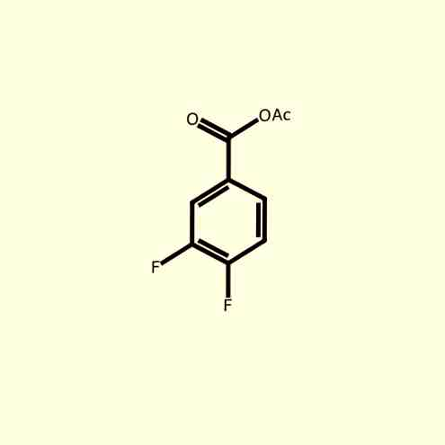 CC(=O)OC(=O)c1ccc(F)c(F)c1